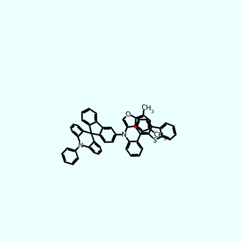 Cc1cc(C)c2occ(N(c3ccc4c(c3)-c3ccccc3C43c4ccccc4N(c4ccccc4)c4ccccc43)c3ccccc3-c3cccc4c3sc3ccccc34)c2c1